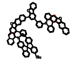 CC(C)(C)c1ccc2c(c1)C1(c3ccccc3-c3ccc(N(C4=CC=CC5C=CC=CC45)c4ccccc4-c4cccc5oc6cc7ccc(-c8cc(-c9cccc(N(c%10ccccc%10-c%10cccc%11oc%12cc%13ccccc%13cc%12c%10%11)c%10cccc%11ccccc%10%11)c9)cc9c8oc8ccccc89)cc7cc6c45)cc31)c1cc(C(C)(C)C)ccc1-2